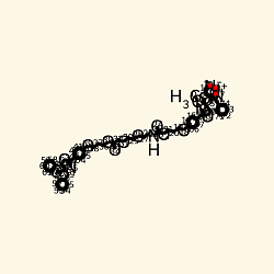 COC(=O)[C@@]1(Cc2ccccc2)N=C(c2ccc(OCCCOC(=O)NCCOCCOCC(=O)OCCCOc3ccc(C4=N[C@@](C=O)(Cc5ccccc5)[C@H](c5ccccc5)O4)cc3)cc2)O[C@H]1c1ccccc1CN=[N+]=[N-]